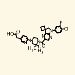 CC1(C)CN(c2ccc(CC(=O)O)cn2)CCN1C(=O)c1cnc2c(n1)C1(CCC1)CN2c1ccc(Cl)c(F)c1